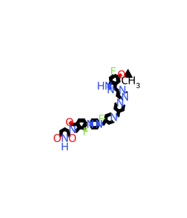 CC1(Oc2cc3c(-c4cc(N5CCC(CN6CCC(F)(CN7CCN(c8ccc9c(c8F)CN(C8CCC(=O)NC8=O)C9=O)CC7)CC6)CC5)ncn4)n[nH]c3cc2F)CC1